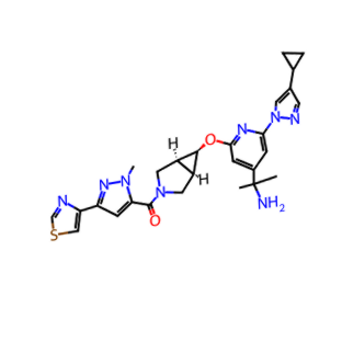 Cn1nc(-c2cscn2)cc1C(=O)N1C[C@@H]2[C@H](C1)[C@@H]2Oc1cc(C(C)(C)N)cc(-n2cc(C3CC3)cn2)n1